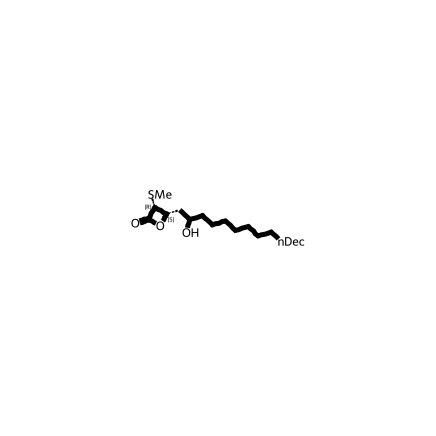 CCCCCCCCCCCCCCCCCC(O)C[C@@H]1OC(=O)[C@@H]1SC